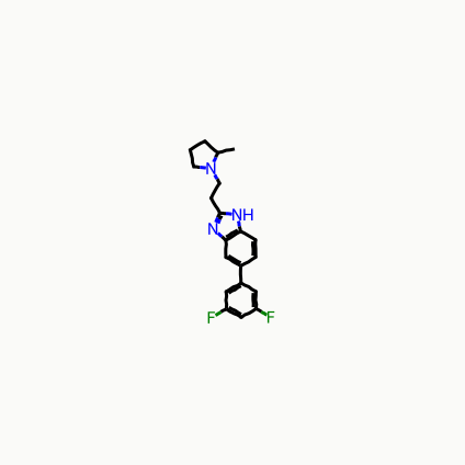 CC1CCCN1CCc1nc2cc(-c3cc(F)cc(F)c3)ccc2[nH]1